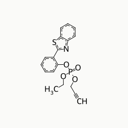 C#CCOP(=O)(OCC)Oc1ccccc1-c1nc2ccccc2s1